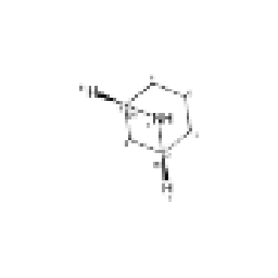 C1C[C@@H]2C[C@H](C1)N2